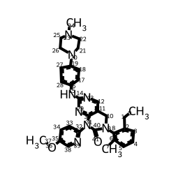 CCc1cccc(C)c1N1Cc2cnc(Nc3ccc(N4CCN(C)CC4)cc3)nc2N(c2ccc(OC)cn2)C1=O